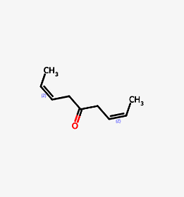 C/C=C\CC(=O)C/C=C\C